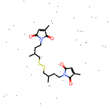 CC1=CC(=O)N(CCC(C)CSSCC(C)CCN2C(=O)C=C(C)C2=O)C1=O